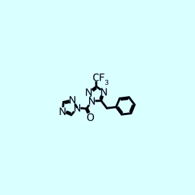 O=C(n1cncn1)n1nc(C(F)(F)F)nc1Cc1ccccc1